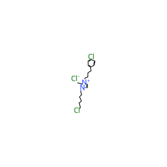 Cc1n(CCCCCCCl)cc[n+]1CCCCc1ccc(Cl)cc1.[Cl-]